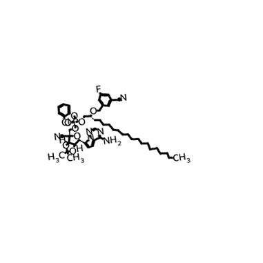 CCCCCCCCCCCCCCCCCC[C@H](COP(=O)(OC[C@@]1(C#N)O[C@@H](c2ccc3c(N)ncnn23)[C@@H]2OC(C)(C)O[C@@H]21)Oc1ccccc1Cl)OCc1cc(F)cc(C#N)c1